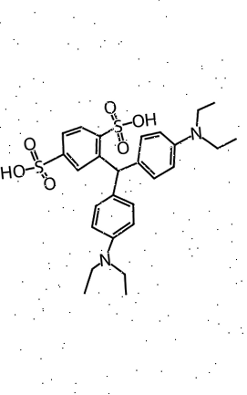 CCN(CC)c1ccc(C(c2ccc(N(CC)CC)cc2)c2cc(S(=O)(=O)O)ccc2S(=O)(=O)O)cc1